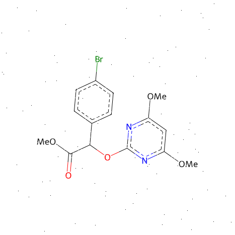 COC(=O)C(Oc1nc(OC)cc(OC)n1)c1ccc(Br)cc1